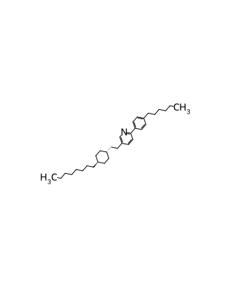 CCCCCCCC[C@H]1CC[C@H](CCc2ccc(-c3ccc(CCCCCC)cc3)nc2)CC1